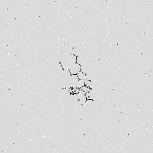 CCCCCCCC(C)(CCCCCC)C(=O)NC(C)(BNI)B(C)N(C)I